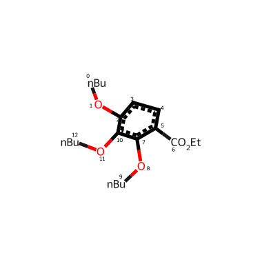 CCCCOc1ccc(C(=O)OCC)c(OCCCC)c1OCCCC